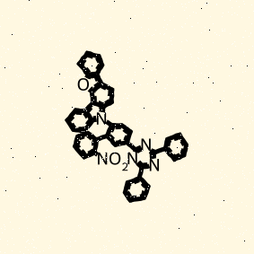 O=[N+]([O-])c1ccccc1-c1cc(-c2nc(-c3ccccc3)nc(-c3ccccc3)n2)ccc1-n1c2ccccc2c2c3oc4ccccc4c3ccc21